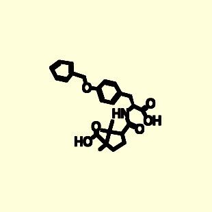 CC1(C(=O)O)CCC(C(=O)N[C@@H](Cc2ccc(OCc3ccccc3)cc2)C(=O)O)C1(C)C